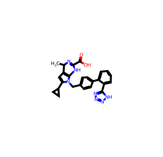 CC1N=C(C(=O)O)Nc2c1cc(C1CC1)n2Cc1ccc(-c2ccccc2-c2nnn[nH]2)cc1